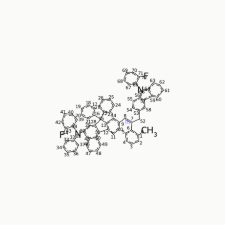 Cc1ccccc1/C(=C\c1ccc2c(c1)C(c1ccccc1)(c1ccccc1)c1cc(N(c3ccccc3)c3ccccc3F)c3ccccc3c1-2)Cc1ccc2c(c1)c1ccccc1n2-c1ccccc1F